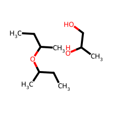 CC(O)CO.CCC(C)OC(C)CC